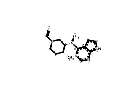 C[C@@H]1CCN(C=O)C[C@@H]1N(C)c1ncnc2[nH]ccc12